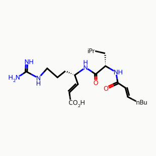 CCCC/C=C/C(=O)N[C@@H](CC(C)C)C(=O)N[C@H](/C=C/C(=O)O)CCCNC(=N)N